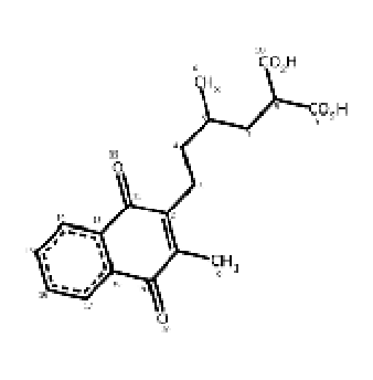 CC1=C(CCC(C)CC(C(=O)O)C(=O)O)C(=O)c2ccccc2C1=O